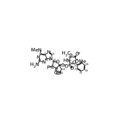 CNc1nc(N)nc2c1ncn2[C@@H]1O[C@](CCl)(COP(=O)(N[C@H](C)C(=O)OC)Oc2ccccc2)[C@@H](O)[C@H]1F